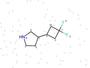 FC1(F)CC(C2CCNC2)C1